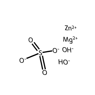 O=S(=O)([O-])[O-].[Mg+2].[OH-].[OH-].[Zn+2]